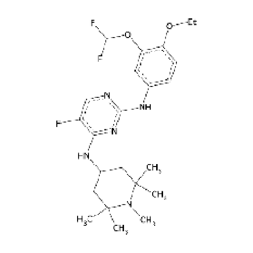 CCOc1ccc(Nc2ncc(F)c(NC3CC(C)(C)N(C)C(C)(C)C3)n2)cc1OC(F)F